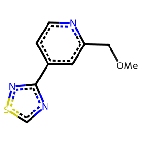 COCc1cc(-c2ncsn2)ccn1